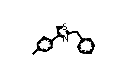 Cc1ccc(-c2csc(Cc3ccccc3)n2)cc1